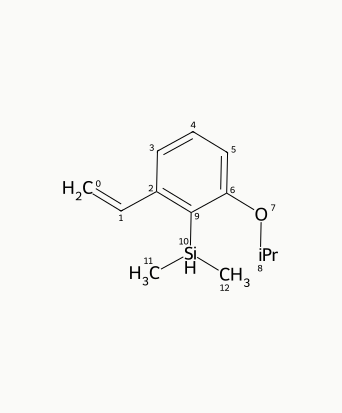 C=Cc1cccc(OC(C)C)c1[SiH](C)C